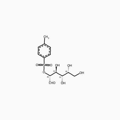 Cc1ccc(S(=O)(=O)O[C@@H](C=O)[C@@H](O)[C@@H](O)[C@H](O)CO)cc1